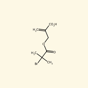 C=C(COC(=O)C(C)(C)Br)C(=O)O